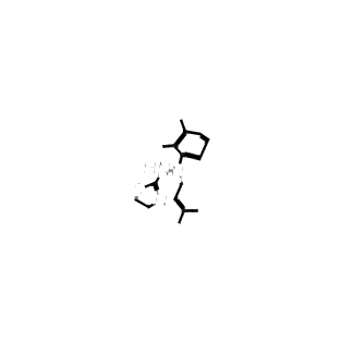 CC(C)=CCN(NC1=NCCS1)c1cccc(C)c1C